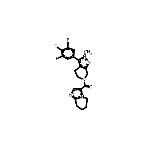 Cn1nc2c(c1-c1cc(F)c(F)c(F)c1)CCN(C(=O)c1cnc3n1CCCC3)C2